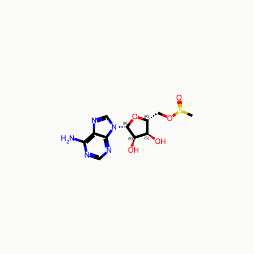 CS(=O)OC[C@H]1O[C@@H](n2cnc3c(N)ncnc32)[C@H](O)[C@@H]1O